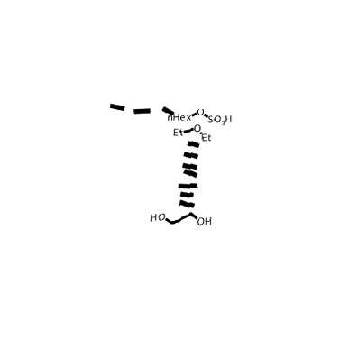 C=C.C=C.C=C.C=C.C=C.C=C.C=C.C=C.C=C.C=C.CCCCCCOS(=O)(=O)O.CCOCC.OCCO